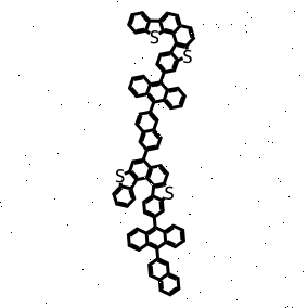 c1ccc2cc(-c3c4ccccc4c(-c4ccc5c(c4)sc4ccc6c(-c7ccc8cc(-c9c%10ccccc%10c(-c%10ccc%11c(c%10)sc%10ccc%12ccc%13c%14ccccc%14sc%13c%12c%10%11)c%10ccccc9%10)ccc8c7)cc7sc8ccccc8c7c6c45)c4ccccc34)ccc2c1